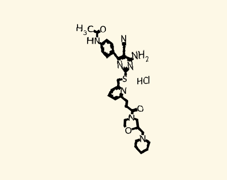 CC(=O)Nc1ccc(-c2nc(SCc3cccc(CCC(=O)N4CCOC(CN5CCCCC5)C4)n3)nc(N)c2C#N)cc1.Cl